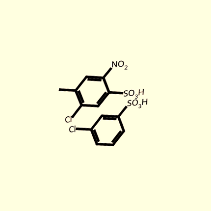 Cc1cc([N+](=O)[O-])c(S(=O)(=O)O)cc1Cl.O=S(=O)(O)c1cccc(Cl)c1